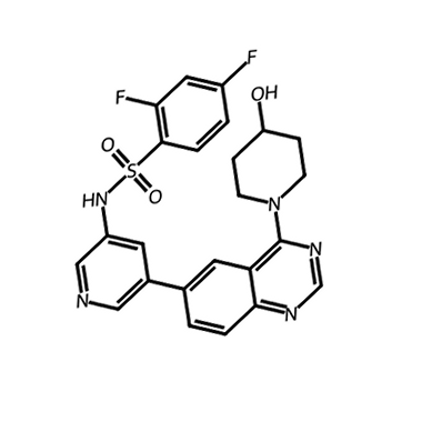 O=S(=O)(Nc1cncc(-c2ccc3ncnc(N4CCC(O)CC4)c3c2)c1)c1ccc(F)cc1F